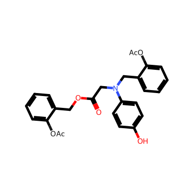 CC(=O)Oc1ccccc1COC(=O)CN(Cc1ccccc1OC(C)=O)c1ccc(O)cc1